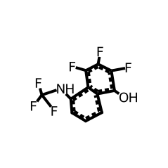 Oc1c(F)c(F)c(F)c2c(NC(F)(F)F)cccc12